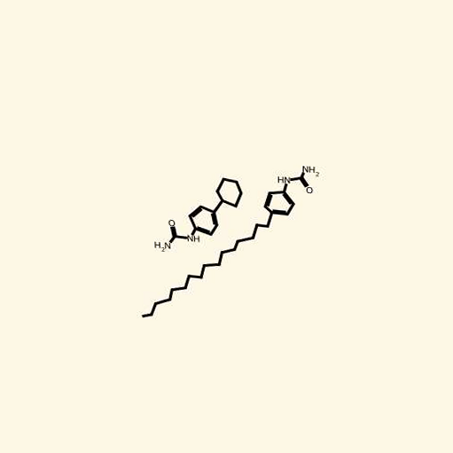 CCCCCCCCCCCCCCCCc1ccc(NC(N)=O)cc1.NC(=O)Nc1ccc(C2CCCCC2)cc1